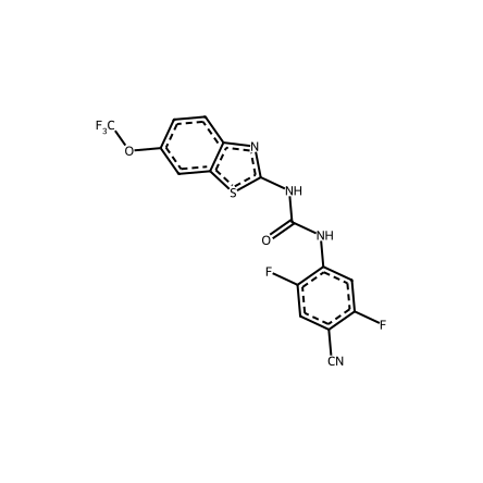 N#Cc1cc(F)c(NC(=O)Nc2nc3ccc(OC(F)(F)F)cc3s2)cc1F